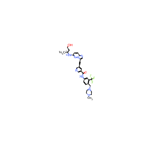 C[C@@H](CCO)Nc1ccc2ncc(C#Cc3cncc(C(=O)Nc4ccc(CN5CCN(C)CC5)c(C(F)(F)F)c4)c3)n2n1